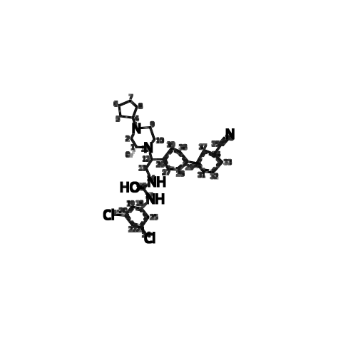 C[C@@H]1CN(C2CCCC2)CCN1C(CNC(O)Nc1cc(Cl)cc(Cl)c1)c1ccc(-c2cccc(C#N)c2)cc1